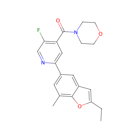 CCc1cc2cc(-c3cc(C(=O)N4CCOCC4)c(F)cn3)cc(C)c2o1